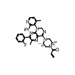 C=CC(=O)N1C[C@H](C)N(C2=NCN(c3c(C)ccnc3C(C)C)c3nc(-c4ccccc4F)c(C)nc32)C[C@H]1C